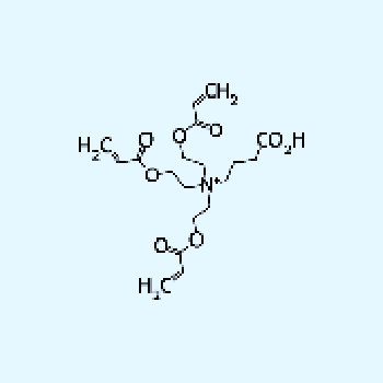 C=CC(=O)OCC[N+](CCCC(=O)O)(CCOC(=O)C=C)CCOC(=O)C=C